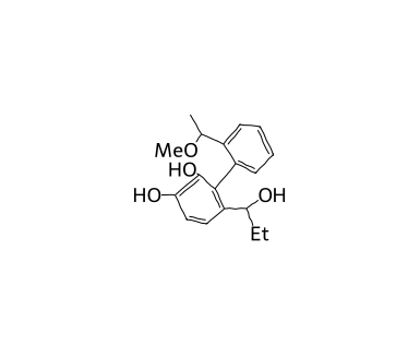 CCC(O)c1ccc(O)c(O)c1-c1ccccc1C(C)OC